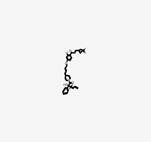 C=CCC(F)(F)C(O)(C(=O)N1CCC(CCCCOc2ccc(C(=O)CCC3CC(F)(F)C3)c(Cl)c2)CC1)c1ccccc1